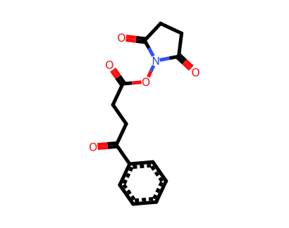 O=C(CCC(=O)c1ccccc1)ON1C(=O)CCC1=O